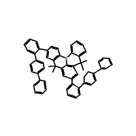 CC1(C)c2ccccc2N2c3ccc(-c4ccccc4-c4ccc(-c5ccccc5)cc4)cc3C(C)(C)c3cc(-c4ccccc4C4=CC=C(c5ccccc5)CC4)cc1c32